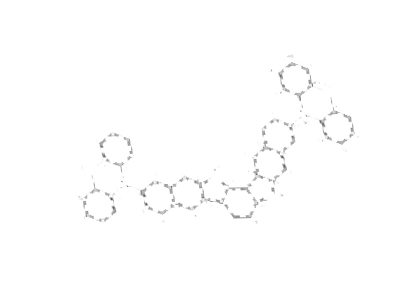 c1ccc2c(c1)Oc1ccccc1N2c1ccc2cc3c(cc2c1)oc1c3ccc2sc3cc4cc(N5c6ccccc6Oc6ccccc65)ccc4cc3c21